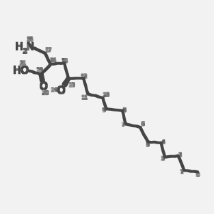 CCCCCCCCCCCCCC(=O)CC(CN)C(=O)O